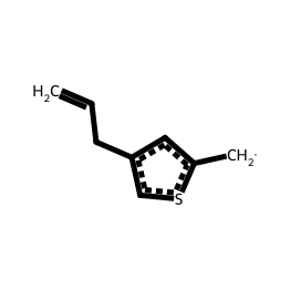 [CH2]c1cc(CC=C)cs1